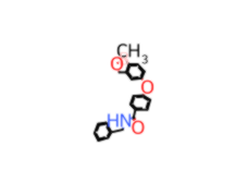 CB1OCc2cc(Oc3ccc(C(=O)NCc4ccccc4)cc3)ccc21